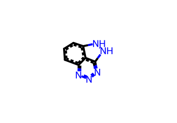 c1cc2c3c(nnnc3c1)NN2